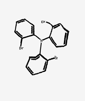 Brc1ccccc1N(c1ccccc1Br)c1ccccc1Br